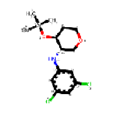 CC(C)(C)[Si](C)(C)O[C@H]1CCOC[C@@H]1Nc1cc(Cl)cc(Cl)c1